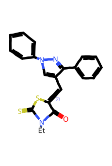 CCN1C(=O)/C(=C/c2cn(-c3ccccc3)nc2-c2ccccc2)SC1=S